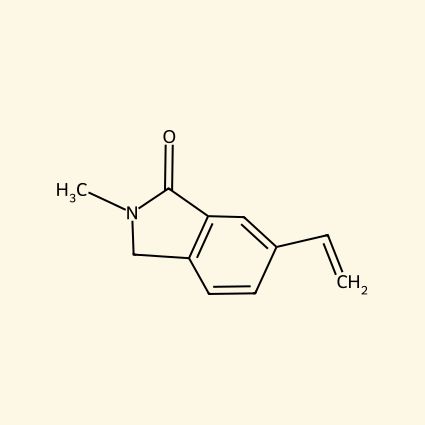 C=Cc1ccc2c(c1)C(=O)N(C)C2